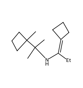 CCC(NC(C)(C)C1(C)CCC1)=C1CCC1